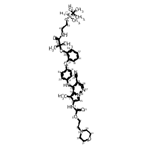 Cc1c(NC(=O)OCCN2CCOCC2)cn2ncc(C#N)c(Nc3ccc(Oc4ccccc4OC(C)(C)C(=O)NCCO[Si](C)(C)C(C)(C)C)cc3)c12